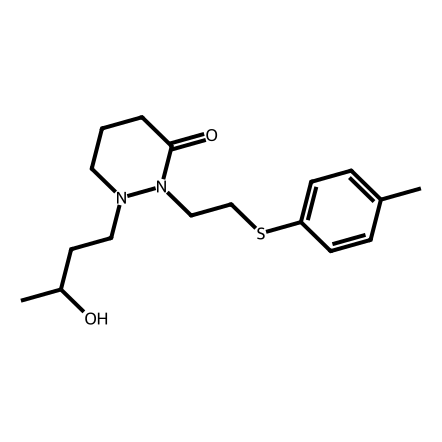 Cc1ccc(SCCN2C(=O)CCCN2CCC(C)O)cc1